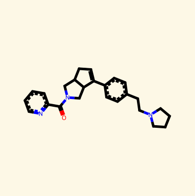 O=C(c1ccccn1)N1CC2CC=C(c3ccc(CCN4CCCC4)cc3)C2C1